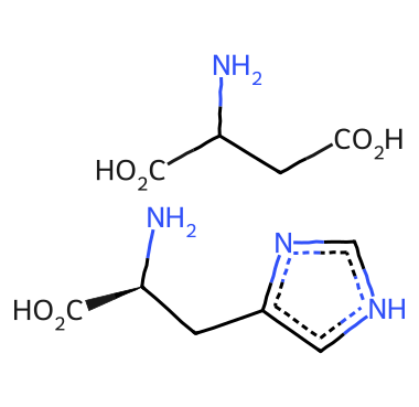 NC(CC(=O)O)C(=O)O.N[C@@H](Cc1c[nH]cn1)C(=O)O